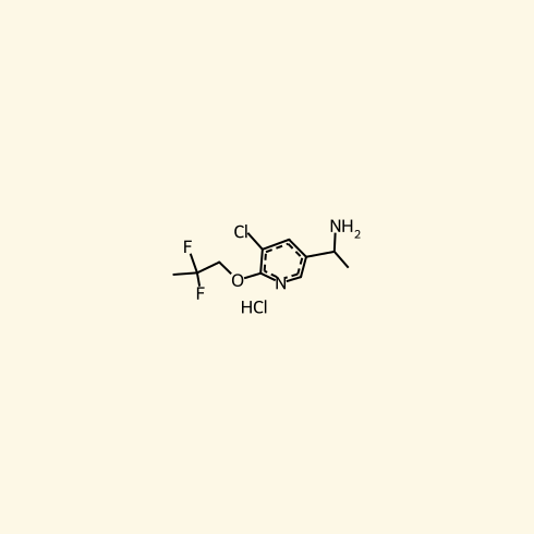 CC(N)c1cnc(OCC(C)(F)F)c(Cl)c1.Cl